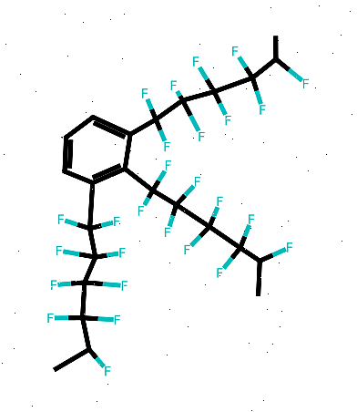 CC(F)C(F)(F)C(F)(F)C(F)(F)C(F)(F)c1c[c]cc(C(F)(F)C(F)(F)C(F)(F)C(F)(F)C(C)F)c1C(F)(F)C(F)(F)C(F)(F)C(F)(F)C(C)F